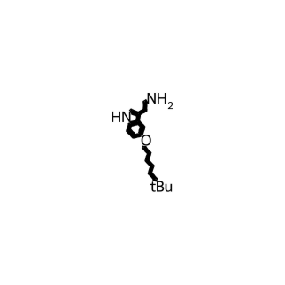 CC(C)(C)CCCCCCOc1ccc2[nH]cc(CCN)c2c1